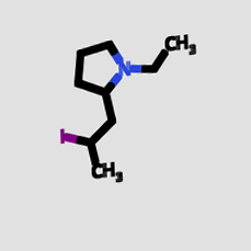 CCN1CCCC1CC(C)I